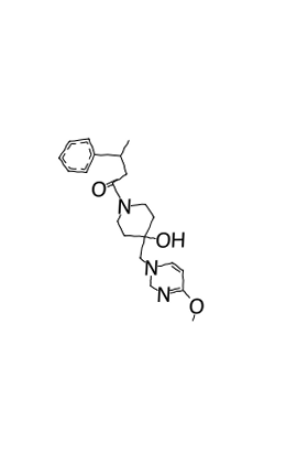 COC1=NCN(CC2(O)CCN(C(=O)CC(C)c3ccccc3)CC2)C=C1